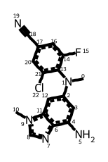 CN(c1cc(N)c2ncn(C)c2c1)c1c(F)cc(C#N)cc1Cl